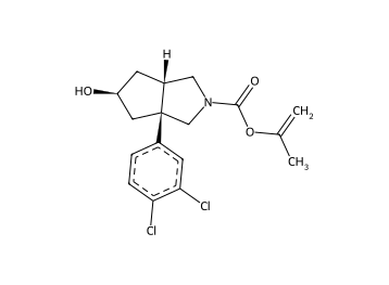 C=C(C)OC(=O)N1C[C@H]2C[C@H](O)C[C@@]2(c2ccc(Cl)c(Cl)c2)C1